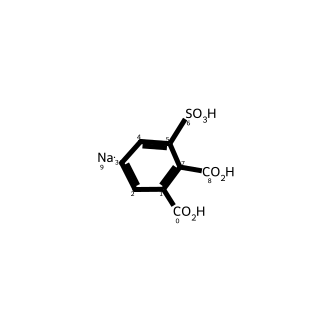 O=C(O)c1cccc(S(=O)(=O)O)c1C(=O)O.[Na]